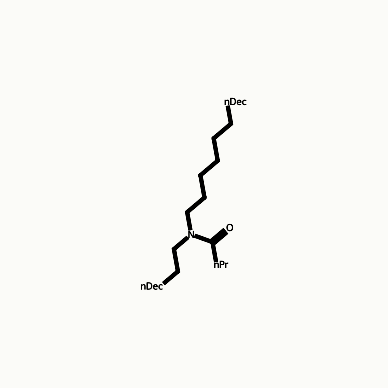 CCCCCCCCCCCCCCCCN(CCCCCCCCCCCC)C(=O)CCC